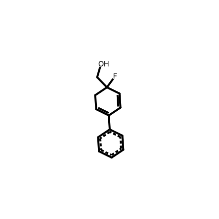 OCC1(F)C=CC(c2ccccc2)=CC1